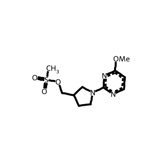 COc1ccnc(N2CCC(COS(C)(=O)=O)C2)n1